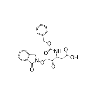 O=C(O)CC(NC(=O)OCc1ccccc1)C(=O)CON1Cc2ccccc2C1=O